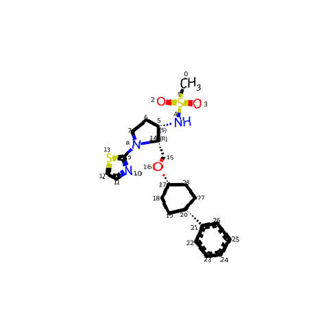 CS(=O)(=O)N[C@H]1CCN(c2nccs2)[C@H]1CO[C@H]1CC[C@@H](c2ccccc2)CC1